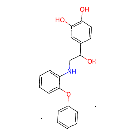 Oc1ccc(C(O)CNc2ccccc2Oc2ccccc2)cc1O